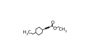 CCOC(=O)C#CC1CCC(CC)CC1